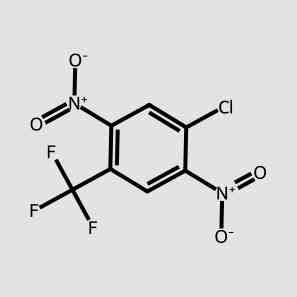 O=[N+]([O-])c1cc(C(F)(F)F)c([N+](=O)[O-])cc1Cl